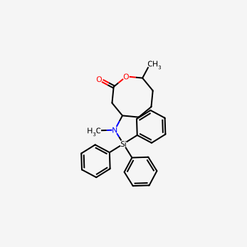 CC1CCCC(N(C)[Si](c2ccccc2)(c2ccccc2)c2ccccc2)CC(=O)O1